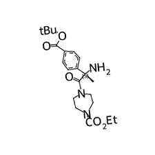 CCOC(=O)N1CCN(C(=O)[C@@](C)(N)c2ccc(C(=O)OC(C)(C)C)cc2)CC1